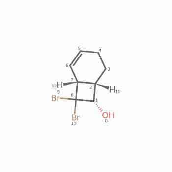 O[C@H]1[C@H]2CCC=C[C@H]2C1(Br)Br